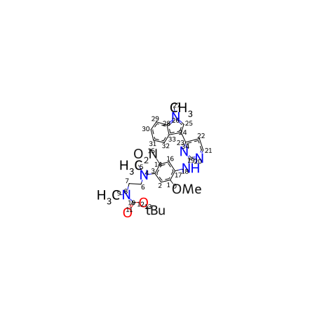 COc1cc(N(C)CCN(C)C(=O)OC(C)(C)C)c([N+](=O)[O-])cc1Nc1nccc(-c2cn(C)c3ccccc23)n1